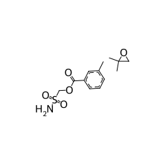 CC1(C)CO1.Cc1cccc(C(=O)OCS(N)(=O)=O)c1